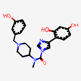 CN(C(=O)n1cnc(-c2ccc(O)cc2O)c1)C1CCN(Cc2cccc(O)c2)CC1